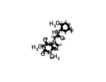 Cc1ccc(F)cc1NC(=O)Cn1cnc2c1c(=O)n(C)c(=O)n2C